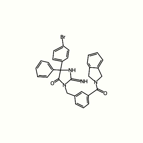 N=C1NC(c2ccccc2)(c2ccc(Br)cc2)C(=O)N1Cc1cccc(C(=O)N2Cc3ccccc3C2)c1